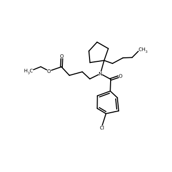 CCCCC1(N(CCCC(=O)OCC)C(=O)c2ccc(Cl)cc2)CCCC1